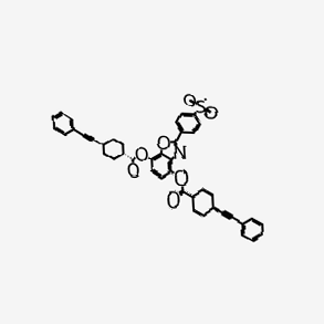 CS(=O)(=O)c1ccc(-c2nc3c(OC(=O)C4CCC(C#Cc5ccccc5)CC4)ccc(OC(=O)[C@H]4CC[C@H](C#Cc5ccccc5)CC4)c3o2)cc1